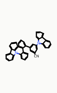 N#Cc1cc(-c2ccccc2-c2ccccc2-n2c3ccccc3c3ccccc32)cc(-n2c3ccccc3c3ccccc32)c1